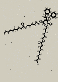 CCCCCCCCCC(=O)OCCCCCCOC(=O)CC(O[Si](c1ccccc1)(c1ccccc1)C(C)(C)C)C(=O)OCCCCCCOC(=O)CCCCCCCCC